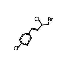 Clc1ccc(/C=C/C(Cl)CBr)cc1